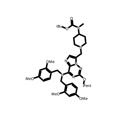 CCCC(C)Oc1nc(N(Cc2ccc(OC)cc2OC)Cc2ccc(OC)cc2OC)c2ncc(CN3CCC(N(C)C(=O)OC(C)(C)C)CC3)n2n1